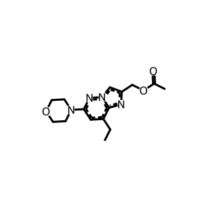 CCc1cc(N2CCOCC2)nn2cc(COC(C)=O)nc12